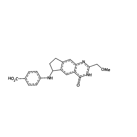 COCc1nc2cc3c(cc2c(=O)[nH]1)C(Nc1ccc(C(=O)O)cc1)CC3